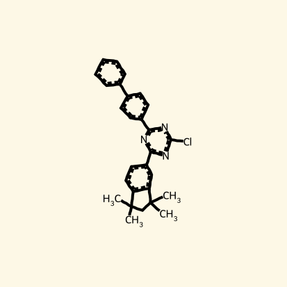 CC1(C)CC(C)(C)c2cc(-c3nc(Cl)nc(-c4ccc(-c5ccccc5)cc4)n3)ccc21